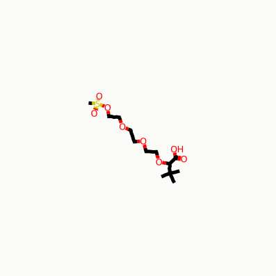 CC(C)(C)C(OCCOCCOCCOS(C)(=O)=O)C(=O)O